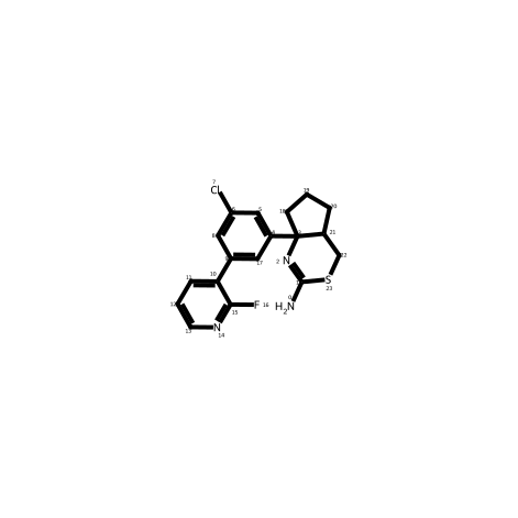 NC1=NC2(c3cc(Cl)cc(-c4cccnc4F)c3)CCCC2CS1